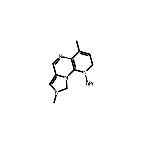 CCCN1CC=C(C)C2=C1N1CN(C)C=C1C=N2